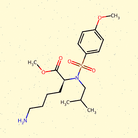 COC(=O)[C@H](CCCCN)N(CC(C)C)S(=O)(=O)c1ccc(OC)cc1